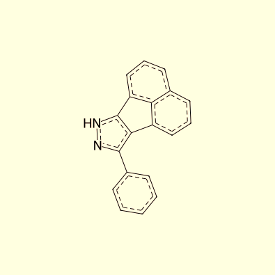 c1ccc(-c2n[nH]c3c2-c2cccc4cccc-3c24)cc1